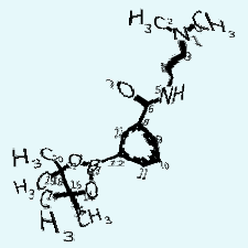 CN(C)CCNC(=O)c1cccc(B2OC(C)(C)C(C)(C)O2)c1